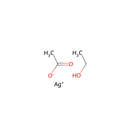 CC(=O)[O-].CCO.[Ag+]